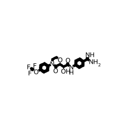 N=C(N)c1ccc(NC(=O)[C@H](O)[C@H]2OCCN(c3ccc(OC(F)(F)F)cc3)C2=O)cc1